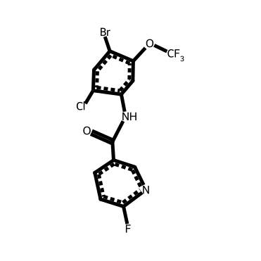 O=C(Nc1cc(OC(F)(F)F)c(Br)cc1Cl)c1ccc(F)nc1